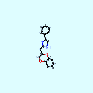 c1ccc(C2CNC(CC3COc4ccccc4O3)=N2)cc1